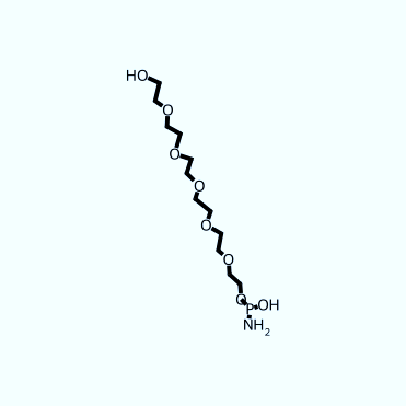 NP(O)OCCOCCOCCOCCOCCOCCO